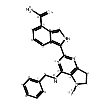 CN1CCc2nc(-c3[nH]cc4c(C(N)=O)cccc34)nc(NCc3ccccc3)c21